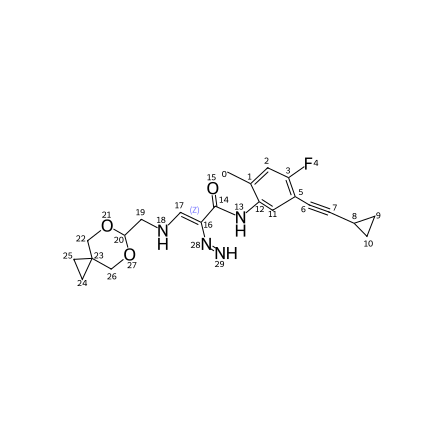 Cc1cc(F)c(C#CC2CC2)cc1NC(=O)/C(=C/NCC1OCC2(CC2)CO1)N=N